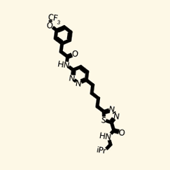 CC(C)CNC(=O)c1nnc(CCCCc2ccc(NC(=O)Cc3cccc(OC(F)(F)F)c3)nn2)s1